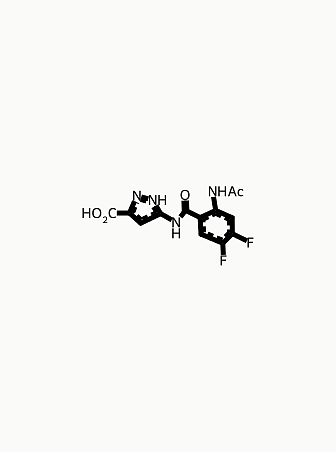 CC(=O)Nc1cc(F)c(F)cc1C(=O)Nc1cc(C(=O)O)n[nH]1